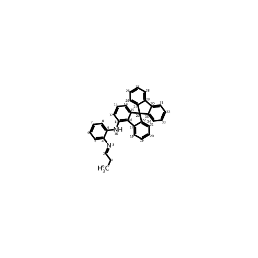 CC/C=N/c1ccccc1Nc1cccc2c1-c1ccccc1C21c2ccccc2-c2ccccc21